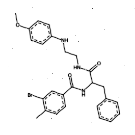 COc1ccc(NCCNC(=O)C(Cc2ccccc2)NC(=O)c2ccc(C)c(Br)c2)cc1